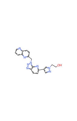 OCCn1cc(-c2ccc3nnn(Cc4ccc5ncccc5n4)c3n2)cn1